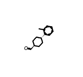 Cc1ccccc1[C@H]1CC[C@H](C=O)CC1